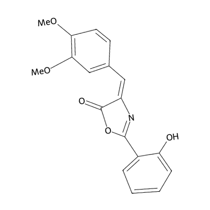 COc1ccc(C=C2N=C(c3ccccc3O)OC2=O)cc1OC